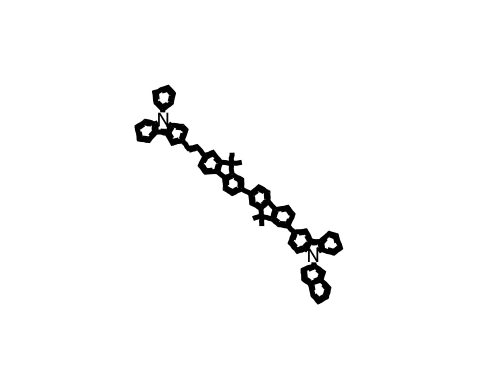 CC1(C)c2cc(/C=C/c3ccc4c(c3)c3ccccc3n4-c3ccccc3)ccc2-c2ccc(-c3ccc4c(c3)C(C)(C)c3cc(-c5ccc6c(c5)c5ccccc5n6-c5ccc6ccccc6c5)ccc3-4)cc21